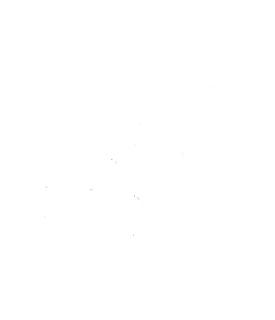 Cc1cccc2c1CC[C@@H](N)C2CN(C)Cc1ccccc1